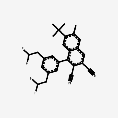 Cc1cc2cc(C#N)c(C#N)c(-c3cc(CC(F)F)cc(CC(F)F)c3)c2cc1C(C)(C)C